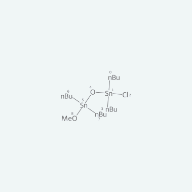 CCC[CH2][Sn]([Cl])([CH2]CCC)[O][Sn]([CH2]CCC)([CH2]CCC)[O]C